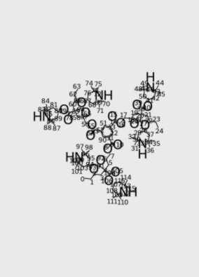 CCCCC(CCCOC(=O)c1cc(C(=O)OCCCC(CCCC)(C(=O)OC2CC(C)(C)NC(C)(C)C2)C(=O)OC2CC(C)(C)NC(C)(C)C2)cc(C(=O)OCCCC(CCCC)(C(=O)OC2CC(C)(C)NC(C)(C)C2)C(=O)OC2CC(C)(C)NC(C)(C)C2)c1)(C(=O)OC1CC(C)(C)NC(C)(C)C1)C(=O)OC1CC(C)(C)NC(C)(C)C1